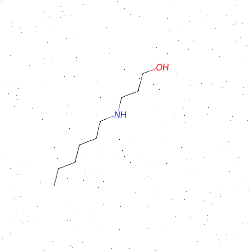 CCCCCCNCCCO